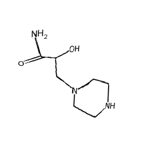 NC(=O)C(O)CN1CCNCC1